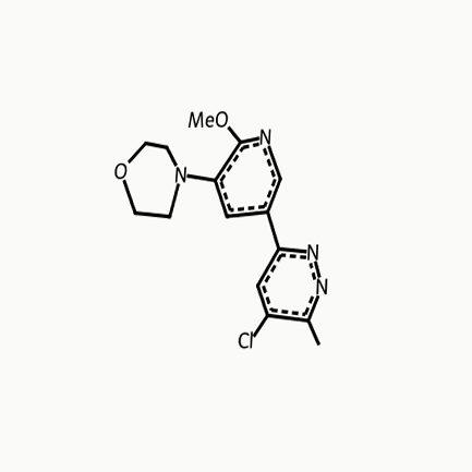 COc1ncc(-c2cc(Cl)c(C)nn2)cc1N1CCOCC1